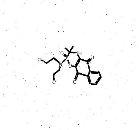 CC1(C)NC2=C(OP1(=O)N(CCCl)CCCl)C(=O)c1ccccc1C2=O